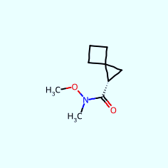 CON(C)C(=O)[C@H]1CC12CCC2